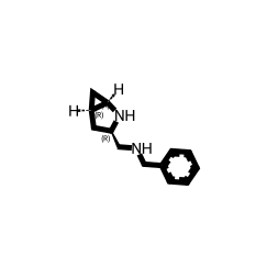 c1ccc(CNC[C@H]2C[C@H]3C[C@H]3N2)cc1